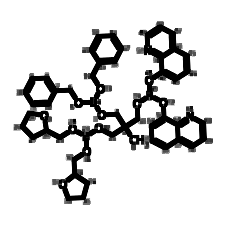 CC(COB(OCc1ccccc1)OCc1ccccc1)(COB(OCC1CCCO1)OCC1CCCO1)COB(Oc1cccc2cccnc12)Oc1cccc2cccnc12